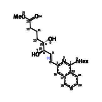 CCCCCCc1nc(/C=C/[C@@H](O)[C@@H](O)CCCC(=O)OC)cc2ccccc12